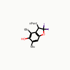 CCCCCC1c2c(cc(C(C)(C)C)c(O)c2C(C)(C)C)OC1(I)I